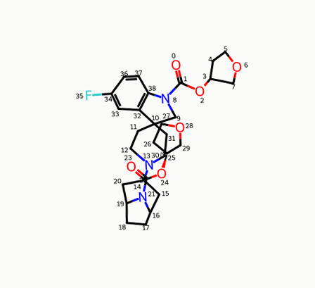 O=C(OC1CCOC1)N1CC2(CCN(C3CC4CCC(C3)N4C(=O)O[C@H]3CCOC3)CC2)c2cc(F)ccc21